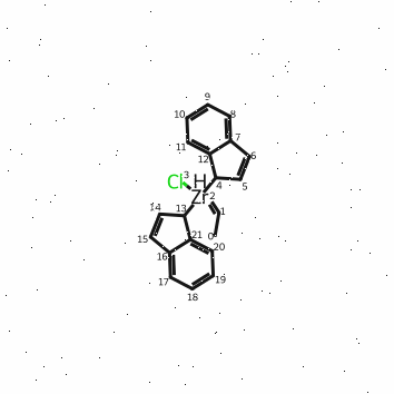 C[CH]=[ZrH]([Cl])([CH]1C=Cc2ccccc21)[CH]1C=Cc2ccccc21